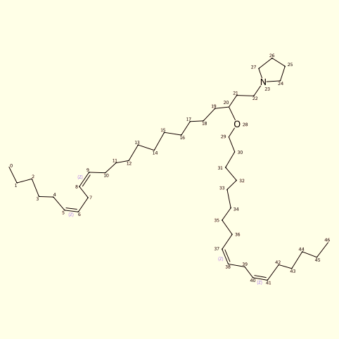 CCCCC/C=C\C/C=C\CCCCCCCCCCC(CCN1CCCC1)OCCCCCCCC/C=C\C/C=C\CCCCC